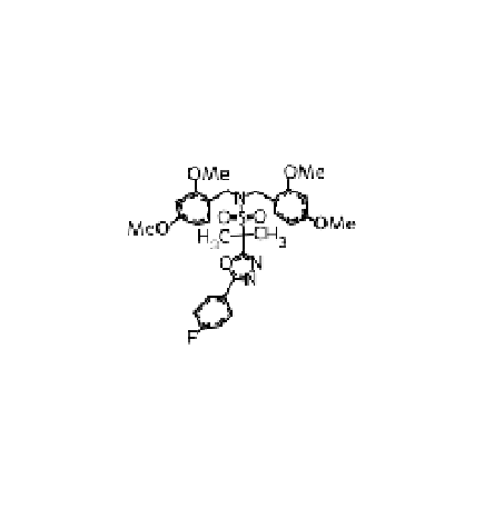 COc1ccc(CN(Cc2ccc(OC)cc2OC)S(=O)(=O)C(C)(C)c2nnc(-c3ccc(F)cc3)o2)c(OC)c1